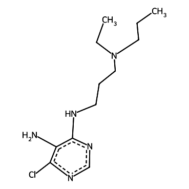 CCCN(CC)CCCNc1ncnc(Cl)c1N